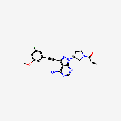 C=CC(=O)N1CC[C@H](n2nc(C#Cc3cc(F)cc(OC)c3)c3c(N)ncnc32)C1